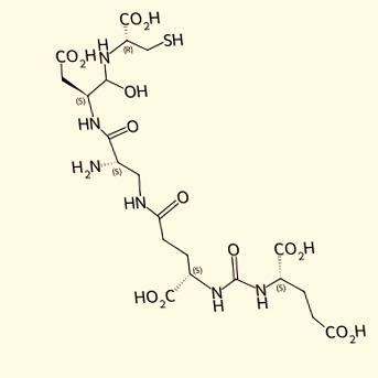 N[C@@H](CNC(=O)CC[C@H](NC(=O)N[C@@H](CCC(=O)O)C(=O)O)C(=O)O)C(=O)N[C@@H](CC(=O)O)C(O)N[C@@H](CS)C(=O)O